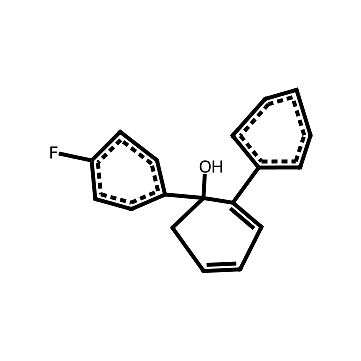 OC1(c2ccc(F)cc2)CC=CC=C1c1ccccc1